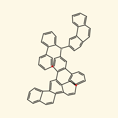 c1ccc(-c2cc(N(c3ccc4ccc5ccccc5c4c3)c3ccccc3-c3ccccc3)ccc2-c2cc3c4ccccc4ccc3c3ccccc23)cc1